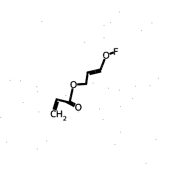 C=CC(=O)OCC=COF